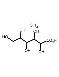 O=C(O)C(O)C(O)C(O)C(O)CO.[SiH4]